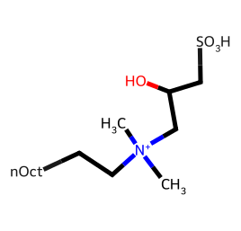 CCCCCCCCCC[N+](C)(C)CC(O)CS(=O)(=O)O